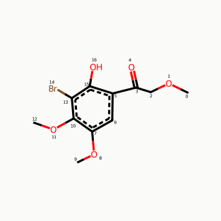 COCC(=O)c1cc(OC)c(OC)c(Br)c1O